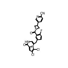 N#Cc1ccc(C2CN(C(=O)c3cc(Cc4c[nH]c(=O)c5cc(Cl)c(Cl)n45)ccc3F)C2)cn1